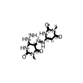 CN1C(=O)NC(NN)C(=NNc2cc(=O)n(C)c(=O)[nH]2)C1=O